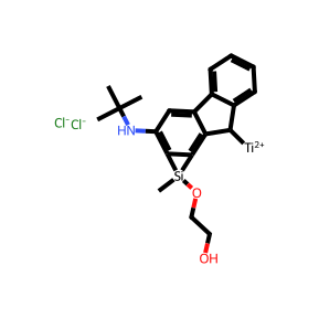 CC(C)(C)Nc1cc2c(c3c1[Si]3(C)OCCO)[CH]([Ti+2])c1ccccc1-2.[Cl-].[Cl-]